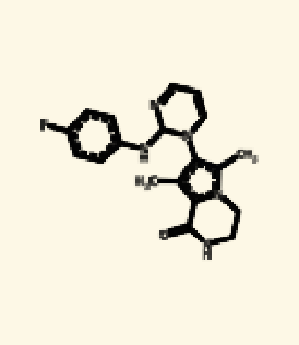 Cc1c(N2C=CC=NC2Nc2ccc(F)cc2)c(C)n2c1C(=O)NCC2